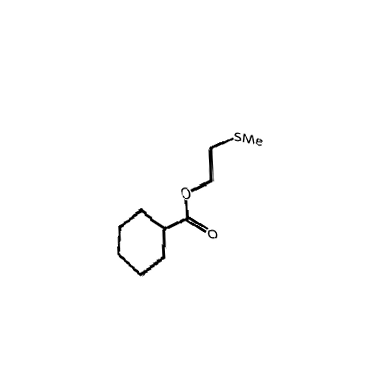 CSCCOC(=O)C1CCCCC1